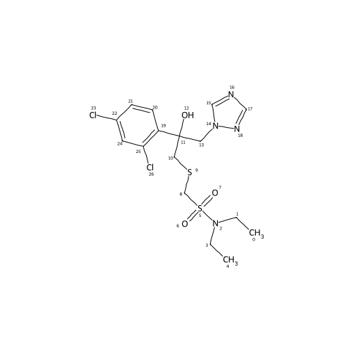 CCN(CC)S(=O)(=O)CSCC(O)(Cn1cncn1)c1ccc(Cl)cc1Cl